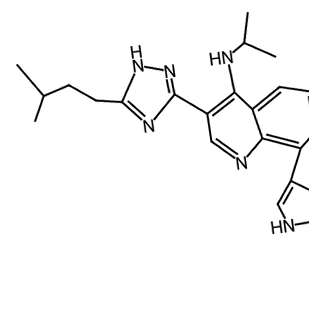 CC(C)CCc1nc(-c2cnc3c(-c4cn[nH]c4)cccc3c2NC(C)C)n[nH]1